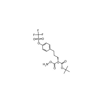 CC(C)(C)OC(=O)[C@H](CCCc1ccc(OS(=O)(=O)C(F)(F)F)cc1)C(=O)ON